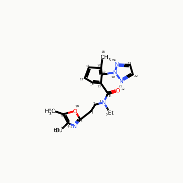 CCN(CCc1nc(C(C)(C)C)c(C)o1)C(=O)c1cccc(C)c1-n1nccn1